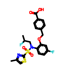 Cc1csc(S(=O)(=O)N(CC(C)F)c2ccc(F)cc2OCc2ccc(C(=O)O)cc2)n1